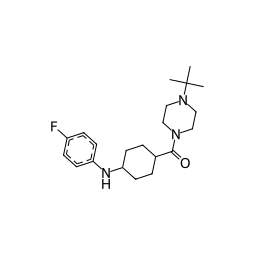 CC(C)(C)N1CCN(C(=O)C2CCC(Nc3ccc(F)cc3)CC2)CC1